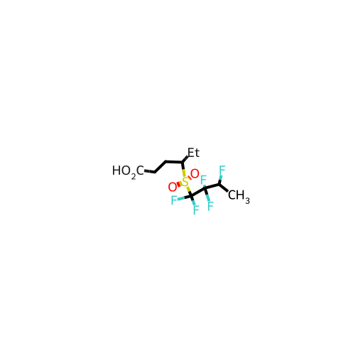 CCC(CCC(=O)O)S(=O)(=O)C(F)(F)C(F)(F)C(C)F